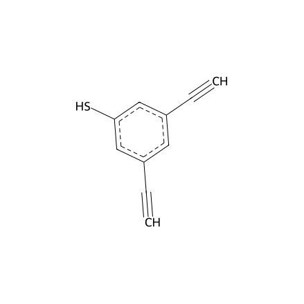 C#Cc1cc(S)cc(C#C)c1